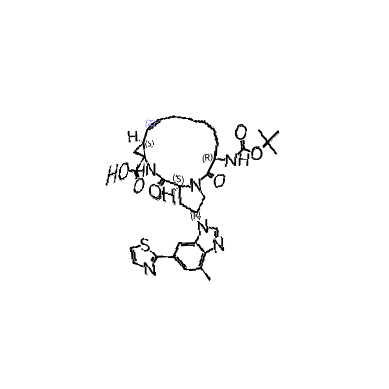 Cc1cc(-c2nccs2)cc2c1ncn2[C@@H]1C[C@H]2C(=O)NC3(C(=O)O)C[C@H]3/C=C\CCCCC[C@@H](NC(=O)OC(C)(C)C)C(=O)N2C1